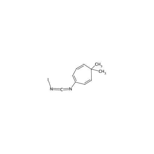 CC1(C)C=CC=C(N=C=NI)C=C1